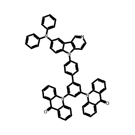 O=c1c2ccccc2n(-c2cc(-c3ccc(-n4c5ccncc5c5cc(N(c6ccccc6)c6ccccc6)ccc54)cc3)cc(-n3c4ccccc4c(=O)c4ccccc43)c2)c2ccccc12